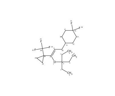 CC[Si](CC)(CC)OC(=CCC1CCC(F)(F)CC1)C1(C(F)(F)F)CC1